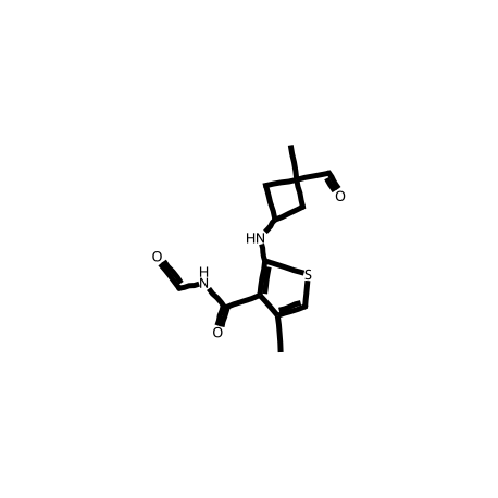 Cc1csc(NC2CC(C)(C=O)C2)c1C(=O)NC=O